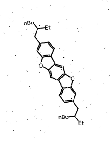 CCCCC(CC)Cc1ccc2c(c1)oc1cc3c(cc12)oc1cc(CC(CC)CCCC)ccc13